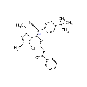 CCn1nc(C)c(Cl)c1/C(OCOC(=O)c1ccccc1)=C(\C#N)c1ccc(C(C)(C)C)cc1